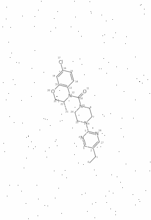 CCc1cnc(N2CCN(C(=O)N3c4ccc(Cl)cc4OCC3C)CC2)nc1